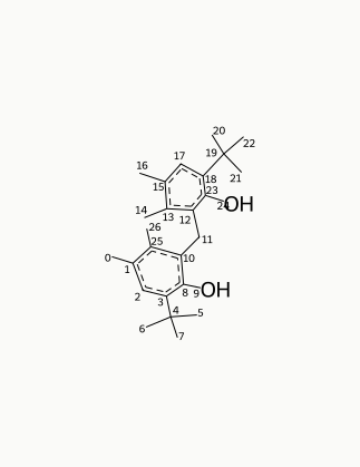 Cc1cc(C(C)(C)C)c(O)c(Cc2c(C)c(C)cc(C(C)(C)C)c2O)c1C